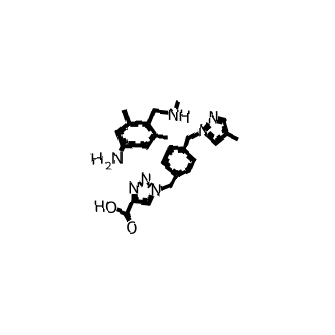 CNCc1c(C)cc(N)cc1C.Cc1cnn(Cc2ccc(Cn3cc(C(=O)O)nn3)cc2)c1